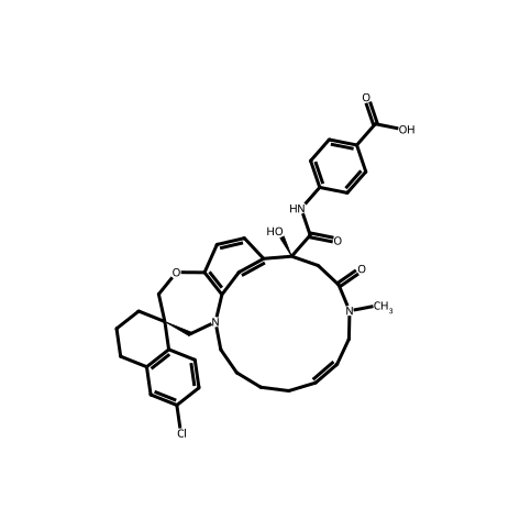 CN1CC=CCCCCN2C[C@@]3(CCCc4cc(Cl)ccc43)COc3ccc(cc32)[C@](O)(C(=O)Nc2ccc(C(=O)O)cc2)CC1=O